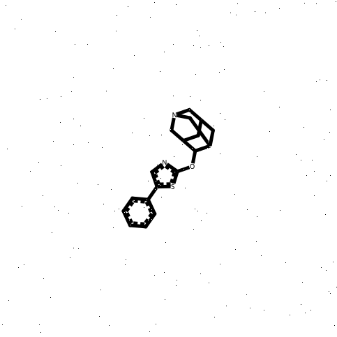 c1ccc(-c2cnc(OC3C4CC5CC3CN(C5)C4)s2)cc1